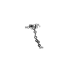 C=C(C)C(=O)OCC(CCOC(=O)C(=C)CO)C1CCC(CCC2CCC(c3ccc4cc(-c5ccc(CCC)cc5)ccc4c3)CC2)CC1